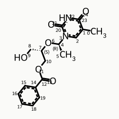 Cc1cn([C@@H](C)O[C@@H](CO)COC(=O)c2ccccc2)c(=O)[nH]c1=O